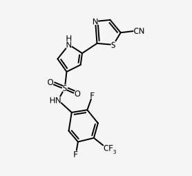 N#Cc1cnc(-c2cc(S(=O)(=O)Nc3cc(F)c(C(F)(F)F)cc3F)c[nH]2)s1